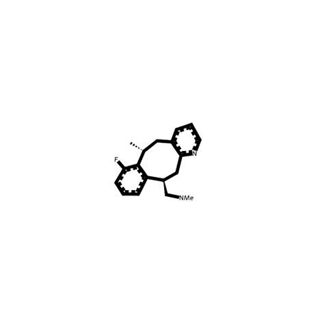 CNC[C@@H]1Cc2ncccc2C[C@@H](C)c2c(F)cccc21